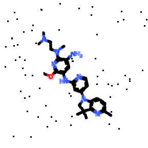 COc1nc(N(C)CCN(C)C)c(N)cc1Nc1cc(N2CC(C)(C)c3nc(C)ccc32)ccn1